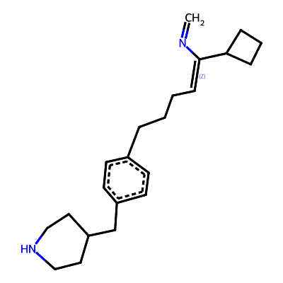 C=N/C(=C\CCCc1ccc(CC2CCNCC2)cc1)C1CCC1